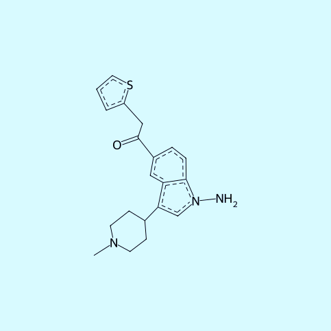 CN1CCC(c2cn(N)c3ccc(C(=O)Cc4cccs4)cc23)CC1